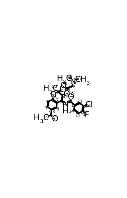 CC(=O)c1ccc2c(c1)[C@H](NC(=O)c1ccc(F)c(Cl)c1)[C@H](OC(=O)CN(C)C)C(C)(C)O2